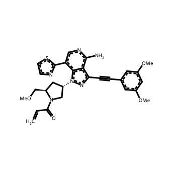 C=CC(=O)N1C[C@@H](n2nc(C#Cc3cc(OC)cc(OC)c3)c3c(N)ncc(-c4nccs4)c32)C[C@@H]1COC